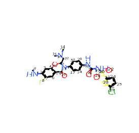 CNc1cc2c(cc1F)C(=O)N(c1ccc(NC(=O)NS(=O)(=O)c3ccc(Cl)s3)cc1)C(CN(C)C)O2